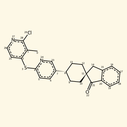 Cc1c(Sc2ccc([C@H]3CC[C@@]4(CC3)Cc3ccccc3C4=O)cn2)ccnc1Cl